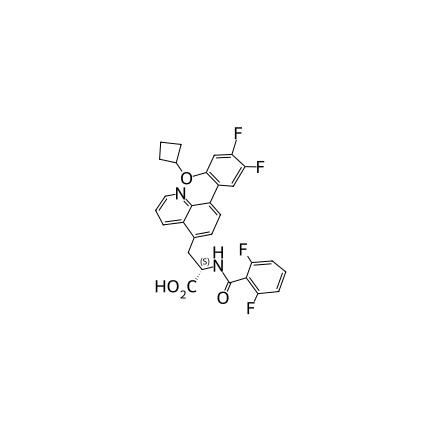 O=C(N[C@@H](Cc1ccc(-c2cc(F)c(F)cc2OC2CCC2)c2ncccc12)C(=O)O)c1c(F)cccc1F